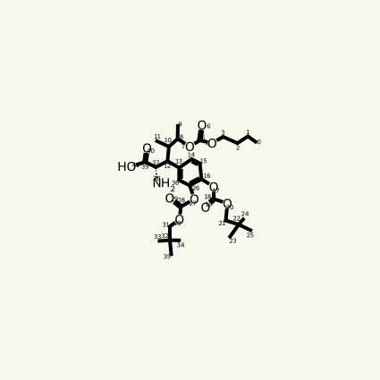 CCCCOC(=O)OC(C)C(C)C(c1ccc(OC(=O)OCC(C)(C)C)c(OC(=O)OCC(C)(C)C)c1)[C@H](N)C(=O)O